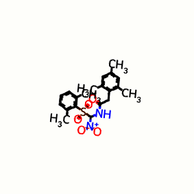 Cc1cc(C)c(CC(=O)NC([N+](=O)[O-])S(=O)(=O)c2c(C)cccc2C)c(C)c1